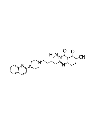 N#CC1CCc2nc(CCCCN3CCN(c4ccc5ccccc5n4)CC3)n(N)c(=O)c2C1=O